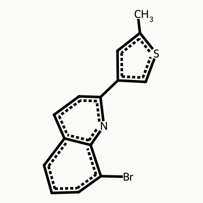 Cc1cc(-c2ccc3cccc(Br)c3n2)cs1